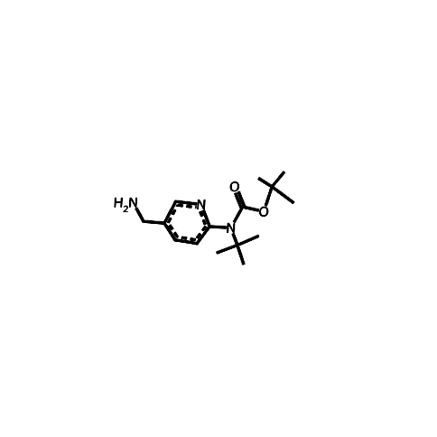 CC(C)(C)OC(=O)N(c1ccc(CN)cn1)C(C)(C)C